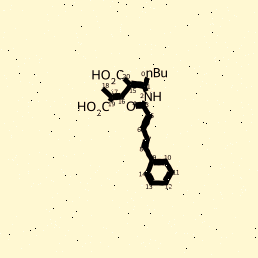 CCCCC(NC(=O)C=CC=Cc1ccccc1)=C(C=C(C)C(=O)O)C(=O)O